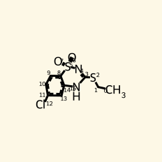 CCSC1=NS(=O)(=O)c2ccc(Cl)cc2N1